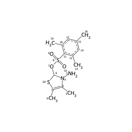 CC1=C(C)N(N)C(OS(=O)(=O)c2c(C)cc(C)cc2C)S1